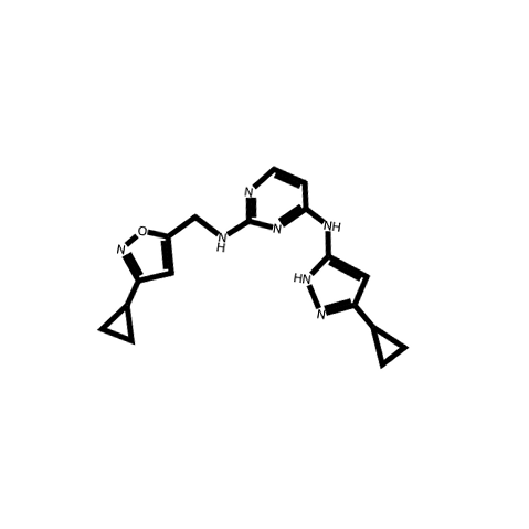 c1cc(Nc2cc(C3CC3)n[nH]2)nc(NCc2cc(C3CC3)no2)n1